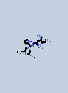 C=C(/C=C(C=N)\C(N)=C/C)c1nc(N2CC(C)OC(C)C2)c2cccn2n1